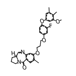 COc1cc(Oc2ccc(OCCCOc3cc4c(cc3C)C(=O)N3CCC[C@H]3C=N4)cc2F)cc(C)c1C